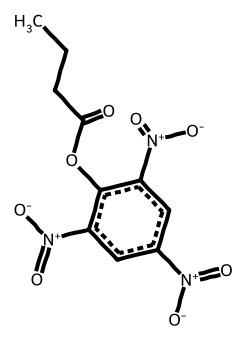 CCCC(=O)Oc1c([N+](=O)[O-])cc([N+](=O)[O-])cc1[N+](=O)[O-]